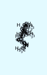 CCC(CC)c1nnc2ccc(O[C@@H]3CC[C@H](NC(=O)Nc4cc(C(C)(C)C)nc(C(=O)NCC(C)(C)N(C)C)n4)c4ccccc43)cn12